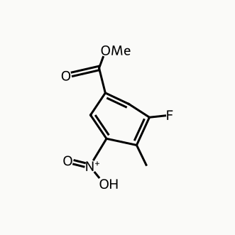 COC(=O)c1cc(F)c(C)c([N+](=O)O)c1